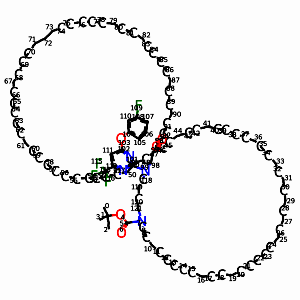 CC(C)(C)OC(=O)N1CCCCCCCCCCCCCCCCCCCCCCCCCCCCCCCCCCCCCCCC2(CCCCCCCCCCCCCCCCCCCCCCCCCCCCCCCCCCCCCCCCCCCCCC23OCCO3)CN(c2nc(Oc3cccc(F)c3)cc(C(F)(F)F)n2)CCCC1